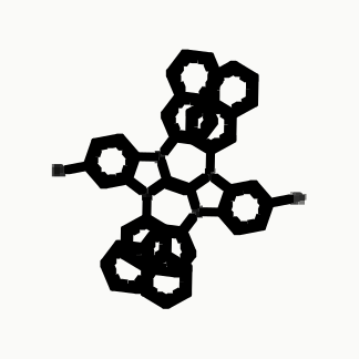 CC(C)c1ccc2c(c1)N(c1ccc3ccccc3c1)/C(=C1\N(c3ccc4ccccc4c3)c3ccc(C(C)C)cc3N1c1ccc3ccccc3c1)N2c1ccc2ccccc2c1